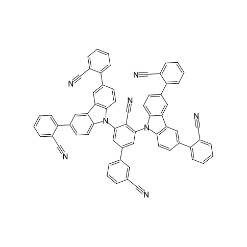 N#Cc1cccc(-c2cc(-n3c4ccc(-c5ccccc5C#N)cc4c4cc(-c5ccccc5C#N)ccc43)c(C#N)c(-n3c4ccc(-c5ccccc5C#N)cc4c4cc(-c5ccccc5C#N)ccc43)c2)c1